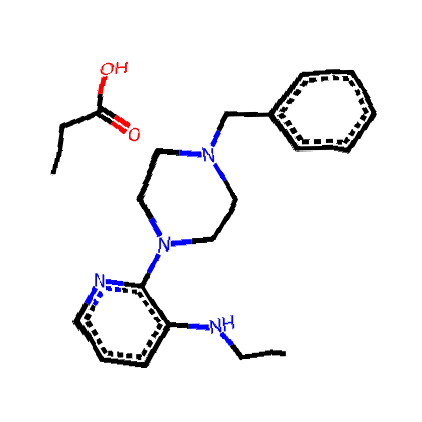 CCC(=O)O.CCNc1cccnc1N1CCN(Cc2ccccc2)CC1